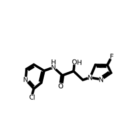 O=C(Nc1ccnc(Cl)c1)C(O)Cn1cc(F)cn1